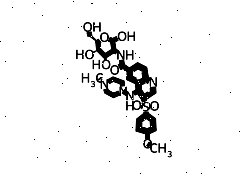 COc1ccc(S(=O)(=O)c2cnc3ccc(C(=O)NC4C(O)O[C@H](CO)[C@@H](O)[C@@H]4O)cc3c2NN2CCN(C)CC2)cc1